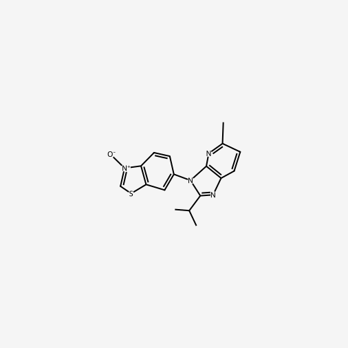 Cc1ccc2nc(C(C)C)n(-c3ccc4c(c3)sc[n+]4[O-])c2n1